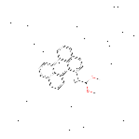 COC(OC)[SiH2]c1ccc2cccc3c4cccc5cccc(c1c23)c54